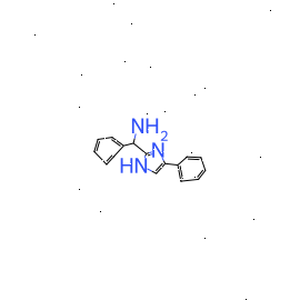 NC(c1ccccc1)c1nc(-c2ccccc2)c[nH]1